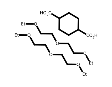 CCOCCOCCOCC.CCOCCOCCOCC.O=C(O)C1CCC(C(=O)O)CC1